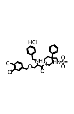 CS(=O)(=O)NCC1(c2ccccc2)CCN(C(=O)C(COCc2ccc(Cl)c(Cl)c2)NCc2ccccc2)CC1.Cl